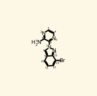 Nc1nccnc1-n1cc2cccc(Br)c2n1